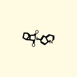 O=C1C2C3CCC(C3)C2C(=O)N1c1ccc2ncccc2c1